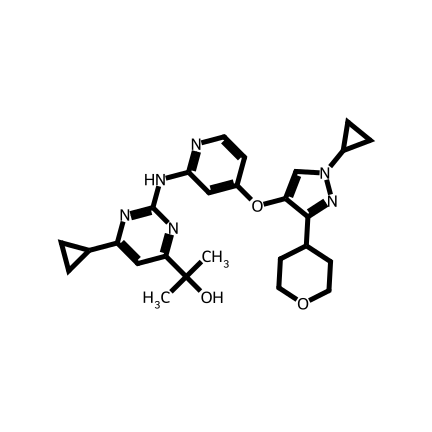 CC(C)(O)c1cc(C2CC2)nc(Nc2cc(Oc3cn(C4CC4)nc3C3CCOCC3)ccn2)n1